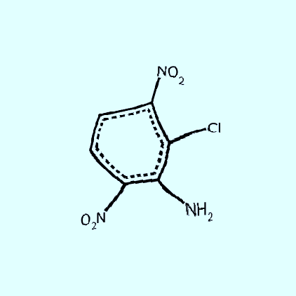 Nc1c([N+](=O)[O-])ccc([N+](=O)[O-])c1Cl